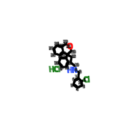 Cl.Clc1ccccc1CNCCCC1(c2ccccc2)COCc2ccccc21